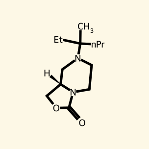 CCCC(C)(CC)N1CCN2C(=O)OC[C@@H]2C1